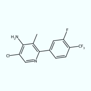 Cc1c(-c2ccc(C(F)(F)F)c(F)c2)ncc(Cl)c1N